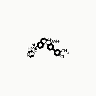 COc1cc(-c2ccc(Cl)c(C)c2)ccc1-n1c(=O)ccc2cc(S(=O)(=O)Nc3cnccn3)ccc21